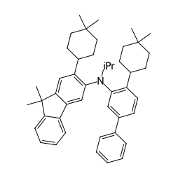 CC(C)N(c1cc(-c2ccccc2)ccc1C1CCC(C)(C)CC1)c1cc2c(cc1C1CCC(C)(C)CC1)C(C)(C)c1ccccc1-2